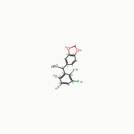 CCCC(c1ccc2c(c1)OCO2)c1c(F)c(F)cc(F)c1F